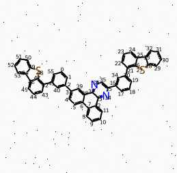 c1cc(-c2ccc3c4ccccc4c4nc(-c5cccc(-c6cccc7c6sc6ccccc67)c5)cnc4c3c2)cc(-c2cccc3c2sc2ccccc23)c1